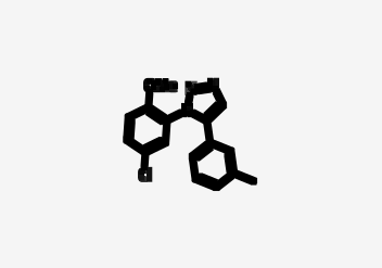 COc1ccc(Cl)cc1-n1nncc1-c1cccc(C)c1